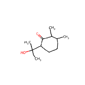 CC1CCC(C(C)(C)O)C(=O)C1C